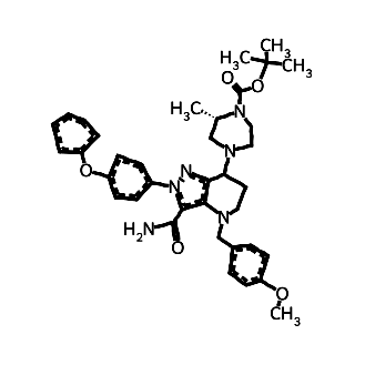 COc1ccc(CN2CCC(N3CCN(C(=O)OC(C)(C)C)[C@@H](C)C3)c3nn(-c4ccc(Oc5ccccc5)cc4)c(C(N)=O)c32)cc1